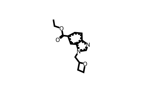 CCOC(=O)c1ccc2ncn(CC3CCO3)c2c1